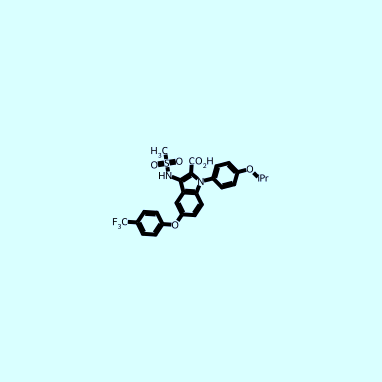 CC(C)Oc1ccc(-n2c(C(=O)O)c(NS(C)(=O)=O)c3cc(Oc4ccc(C(F)(F)F)cc4)ccc32)cc1